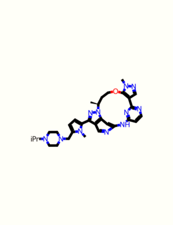 CC(C)N1CCN(Cc2ccc(-c3nn4c5cc(ncc35)Nc3ccnc(n3)-c3cnn(C)c3OCC[C@@H]4C)n2C)CC1